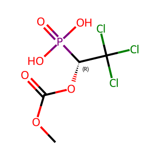 COC(=O)O[C@@H](C(Cl)(Cl)Cl)P(=O)(O)O